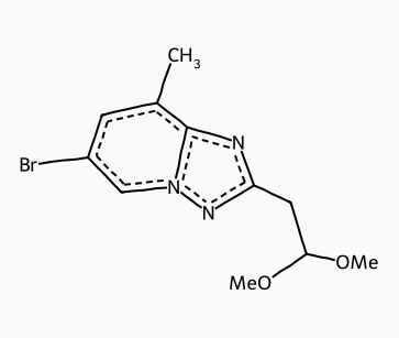 COC(Cc1nc2c(C)cc(Br)cn2n1)OC